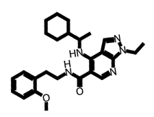 CCn1ncc2c(NC(C)C3CCCCC3)c(C(=O)NCCc3ccccc3OC)cnc21